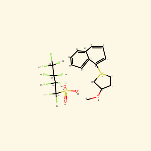 COC1CC[S+](c2cccc3ccccc23)C1.O=S(=O)([O-])C(F)(F)C(F)(F)C(F)(F)C(F)(F)F